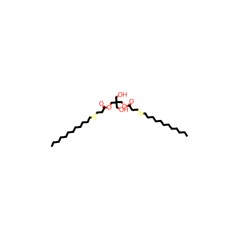 CCCCCCCCCCCCSCCC(=O)OCC(CO)(CO)COC(=O)CCSCCCCCCCCCCCC